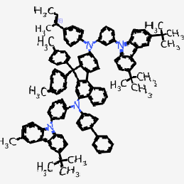 C/C=C(\C)c1ccc(N(c2cccc(-n3c4ccc(C(C)(C)C)cc4c4cc(C(C)(C)C)ccc43)c2)c2ccc3c(c2)C(c2ccc(C)cc2)(c2ccc(C)cc2)c2cc(N(c4ccc(-c5ccccc5)cc4)c4cccc(-n5c6ccc(C)cc6c6cc(C(C)(C)C)ccc65)c4)c4ccccc4c2-3)cc1